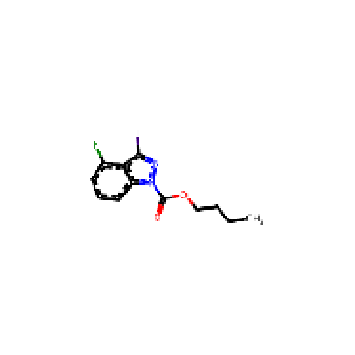 CCCCOC(=O)n1nc(I)c2c(F)cccc21